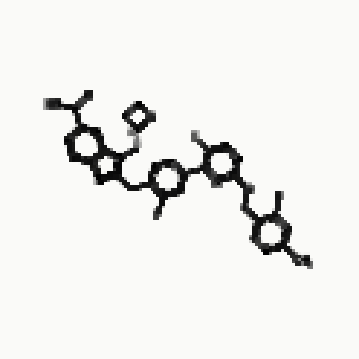 Cc1ccc(COc2ccc(F)c(-c3ccc(Cc4nc5ccc(C(=O)O)cc5n4C[C@@H]4CCO4)c(F)c3)n2)c(F)c1